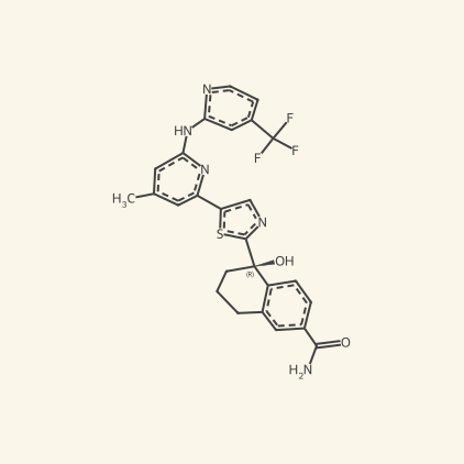 Cc1cc(Nc2cc(C(F)(F)F)ccn2)nc(-c2cnc([C@@]3(O)CCCc4cc(C(N)=O)ccc43)s2)c1